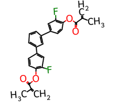 C=C(C)C(=O)Oc1ccc(-c2cccc(-c3ccc(OC(=O)C(=C)C)c(F)c3)c2)cc1F